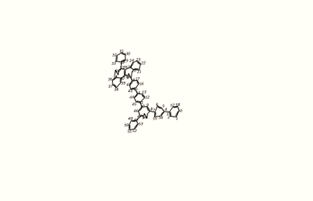 c1ccc(-c2ccc(-c3cc(-c4ccc(-c5ccc(-n6c7ccccc7c7c(-c8ccccc8)nc8ccccc8c76)cc5)cc4)cc(-c4ccccc4)n3)cc2)cc1